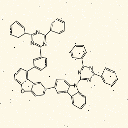 C1=CCC(c2nc(-c3ccccc3)nc(-c3cccc(-c4cccc5oc6ccc(-c7ccc8c(c7)c7ccccc7n8-c7nc(-c8ccccc8)nc(-c8ccccc8)n7)cc6c45)c3)n2)C=C1